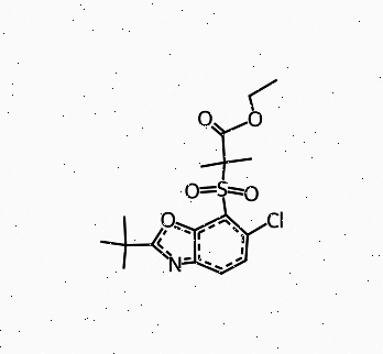 CCOC(=O)C(C)(C)S(=O)(=O)c1c(Cl)ccc2nc(C(C)(C)C)oc12